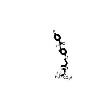 CC(C)(Sc1nc(CCOc2ccc(NC(=O)c3ccc(F)cc3)cc2)cs1)C(=O)O